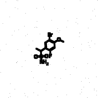 COc1cc(F)c(C(C)S(N)(=O)=O)cc1Br